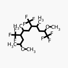 COC(C)CC(C(C)CC(C(C)CC(OC)C(F)(F)F)C(F)(F)F)C(F)(F)F